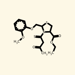 CCOC(=O)C1CSC(COc2ccccc2OC)N1C(=S)CC(C)=O